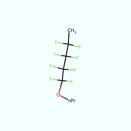 CC[CH]OC(F)(F)C(F)(F)C(F)(F)C(C)(F)F